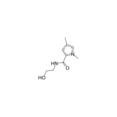 Cc1cc(C(=O)NCCO)n(C)c1